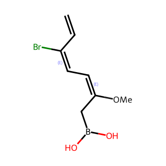 C=C/C(Br)=C\C=C(/CB(O)O)OC